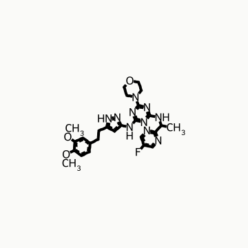 COc1ccc(CCc2cc(Nc3nc(NC(C)c4ncc(F)cn4)nc(N4CCOCC4)n3)n[nH]2)cc1OC